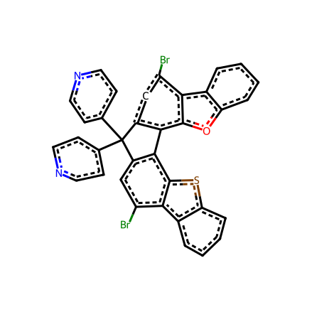 Brc1cc2c(c3oc4ccccc4c13)-c1c(cc(Br)c3c1sc1ccccc13)C2(c1ccncc1)c1ccncc1